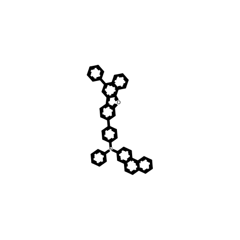 c1ccc(-c2cc3c4ccc(-c5ccc(N(c6ccccc6)c6ccc7c(ccc8ccccc87)c6)cc5)cc4oc3c3ccccc23)cc1